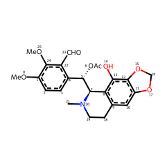 COc1ccc([C@H](OC(C)=O)[C@H]2c3c(cc4c(c3O)OCO4)CCN2C)c(C=O)c1OC